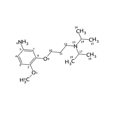 COc1ccc(N)cc1OCCCN(C(C)C)C(C)C